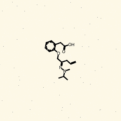 C=CC/C(COc1ccccc1CC(=O)O)=N\N(C)C(C)C